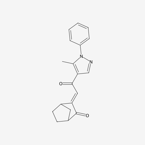 Cc1c(C(=O)/C=C2/C(=O)C3CCC2C3)cnn1-c1ccccc1